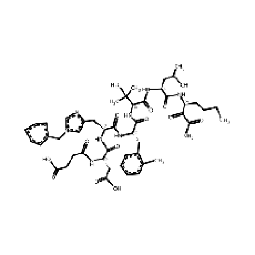 CCCC[C@H](NC(=O)[C@H](CC(C)C)NC(=O)[C@@H](NC(=O)[C@H](Cc1ccccc1C)NC(=O)[C@H](Cc1cn(Cc2ccccc2)cn1)NC(=O)[C@H](CC(=O)O)NC(=O)CCC(=O)O)C(C)(C)C)C(=O)C(N)=O